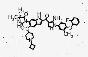 Cc1cc(-n2ncc(C(=O)c3cc4cc(OC5CCN(C6CCC6)CC5)c(N5C(=O)NC(C)(C)C5=O)cc4[nH]3)c2N)ccc1Oc1ccccc1F